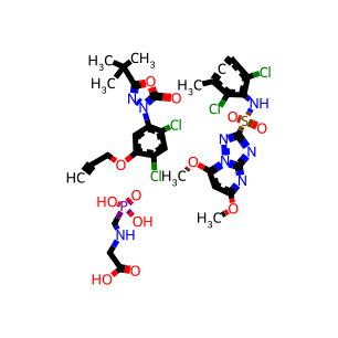 C#CCOc1cc(-n2nc(C(C)(C)C)oc2=O)c(Cl)cc1Cl.COc1cc(OC)n2nc(S(=O)(=O)Nc3c(Cl)ccc(C)c3Cl)nc2n1.O=C(O)CNCP(=O)(O)O